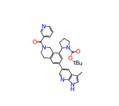 Cc1c[nH]c2ncc(-c3cc4c(c(C5CCCN5C(=O)OC(C)(C)C)c3)CN(C(=O)c3cccnc3)CC4)cc12